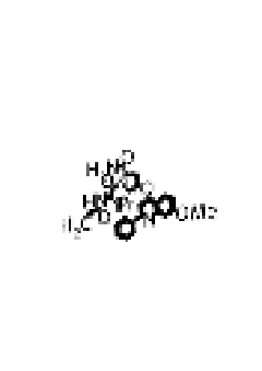 C=CC(=O)N[C@@H](C(=O)N1C[C@H](Oc2cc(-c3ccccc3)nc3cc(OC)ccc23)C[C@H]1C(N)=O)C(C)C